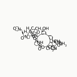 CO[C@@H](C)c1ncccc1-c1c2c3cc(ccc3n1C)-c1cc(O)cc(c1)C[C@H](NC(=O)[C@H](C(C)C)N(C)C(=O)[C@H]1CCN(C(=O)C#CCN3CCOCC3)C1)C(=O)N1CCC[C@H](N1)C(=O)OCC(C)(C)C2